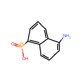 Nc1cccc2c([PH](=O)O)[c]ccc12